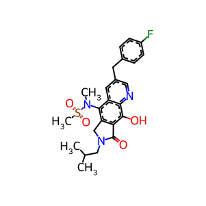 CC(C)CN1Cc2c(c(O)c3ncc(Cc4ccc(F)cc4)cc3c2N(C)S(C)(=O)=O)C1=O